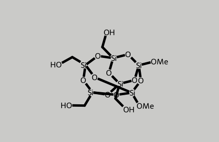 CO[Si]12O[Si]3(CO)O[Si](CO)(O[Si]4(CO)O[Si](CO)(O3)O[Si](OC)(O4)O1)O2